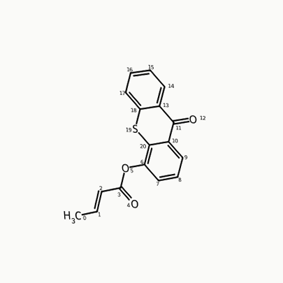 CC=CC(=O)Oc1cccc2c(=O)c3ccccc3sc12